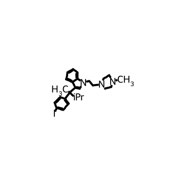 CC(C)C(C)(c1ccc(I)cc1)c1cn(CCN2CCN(C)CC2)c2ccccc12